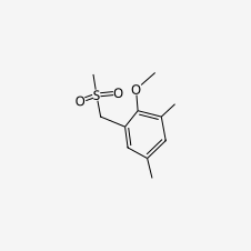 COc1c(C)cc(C)cc1CS(C)(=O)=O